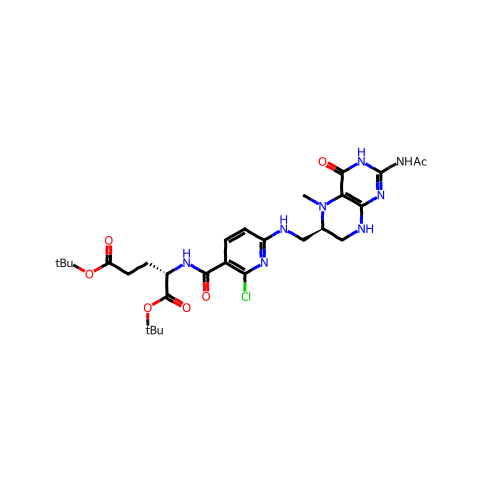 CC(=O)Nc1nc2c(c(=O)[nH]1)N(C)[C@H](CNc1ccc(C(=O)N[C@@H](CCC(=O)OC(C)(C)C)C(=O)OC(C)(C)C)c(Cl)n1)CN2